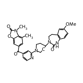 COc1ccc2c(c1)CCN(C1CCN(c3cc(C(=O)c4cc(C)c5c(c4)oc(=O)n5C)ccn3)CC1)C(=O)N2